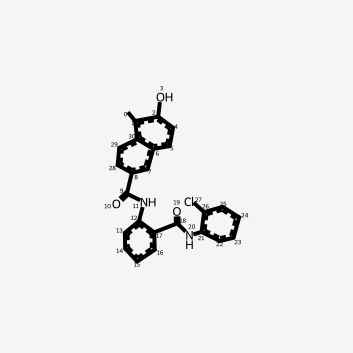 Cc1c(O)ccc2cc(C(=O)Nc3ccccc3C(=O)Nc3ccccc3Cl)ccc12